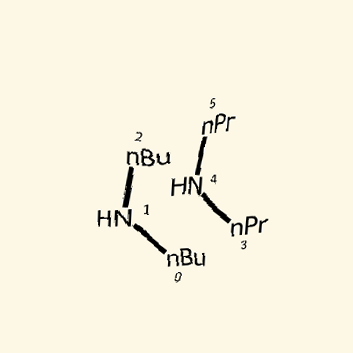 CCCCNCCCC.CCCNCCC